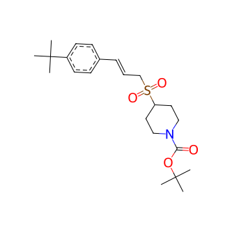 CC(C)(C)OC(=O)N1CCC(S(=O)(=O)CC=Cc2ccc(C(C)(C)C)cc2)CC1